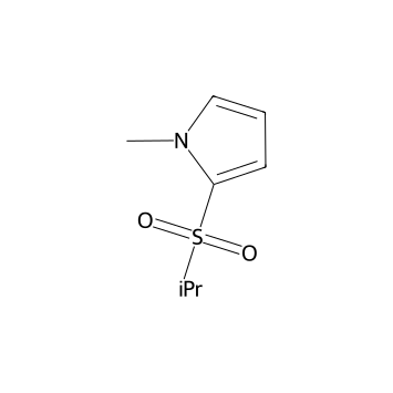 CC(C)S(=O)(=O)c1cccn1C